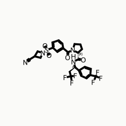 N#CC1CN(S(=O)(=O)c2cccc(C(=O)N3CCC[C@@H]3C(=O)N[C@H](CC(F)(F)F)c3ccc(C(F)(F)F)cc3)c2)C1